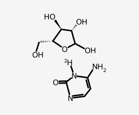 OC[C@H]1OC(O)[C@@H](O)[C@@H]1O.[2H]n1c(N)ccnc1=O